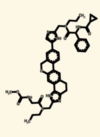 CCCN(Cc1nc2c([nH]1)-c1cc3c(cc1CC2)-c1ccc(-c2cnc(CN(CCC)C(=O)C(NC(=O)C4CC4)c4ccccc4)[nH]2)cc1CO3)C(=O)CNC(=O)OC